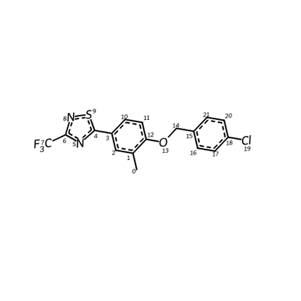 Cc1cc(-c2nc(C(F)(F)F)ns2)ccc1OCc1ccc(Cl)cc1